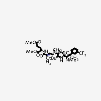 CNC(C(=O)NC(C(=O)N(C)C/C=C(\C)C(=O)NC(CCC(=O)OC)C(=O)OC)C(C)(C)C)C(C)(C)c1cccc(C(F)(F)F)c1